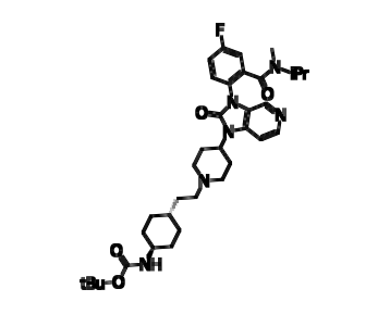 CC(C)N(C)C(=O)c1cc(F)ccc1-n1c(=O)n(C2CCN(CC[C@H]3CC[C@H](NC(=O)OC(C)(C)C)CC3)CC2)c2ccncc21